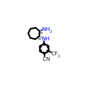 N#Cc1ccc(N[C@@H]2CCCCC[C@H]2N)cc1C(F)(F)F